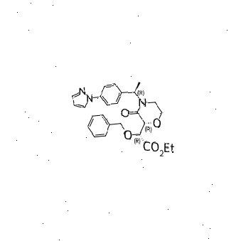 CCOC(=O)[C@H](OCc1ccccc1)[C@H]1OCCN([C@H](C)c2ccc(-n3cccn3)cc2)C1=O